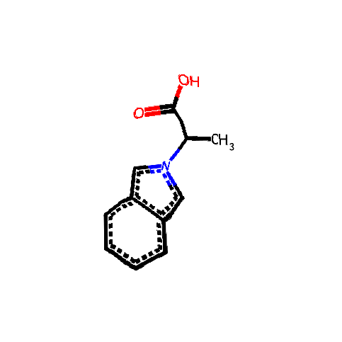 CC(C(=O)O)n1cc2ccccc2c1